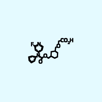 O=C(O)COCC1CCCC(COC(=O)N(c2ccccc2)c2ccnc(F)c2)C1